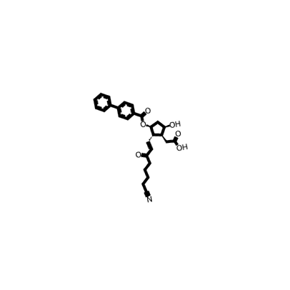 N#CCCCCC(=O)C=C[C@H]1[C@H](CC(=O)O)[C@H](O)C[C@@H]1OC(=O)c1ccc(-c2ccccc2)cc1